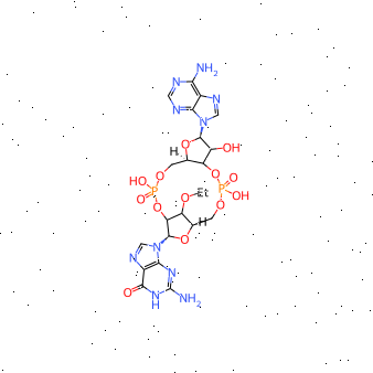 CCOC1C2OP(=O)(O)OC[C@H]3O[C@@H](n4cnc5c(N)ncnc54)C(O)C3OP(=O)(O)OC[C@H]1O[C@H]2n1cnc2c(=O)[nH]c(N)nc21